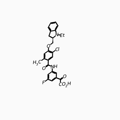 CCN1c2ccccc2C[C@@H]1COc1cc(C)c(C(=O)Nc2cc(F)cc(C(=O)C(=O)O)c2)cc1Cl